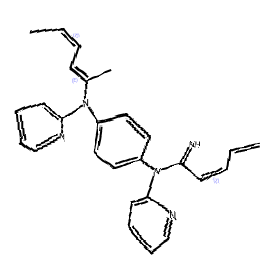 C=C/C=C\C(=N)N(c1ccc(N(/C(C)=C/C=C\C)c2ccccn2)cc1)c1ccccn1